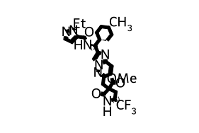 CCn1nccc1C(=O)N[C@H](c1cn2nc(CC3(C(=O)OC)C[C@@H](C(F)(F)F)NC3=O)ccc2n1)[C@H]1CC[C@H](C)CC1